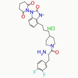 Cl.Cn1c(=O)n(N2C(=O)CCCC2=O)c2cccc(CCCC3CCN(C(=O)[C@@H](N)Cc4ccc(F)c(F)c4)CC3)c21